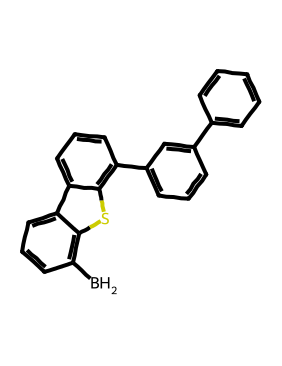 Bc1cccc2c1sc1c(-c3cccc(-c4ccccc4)c3)cccc12